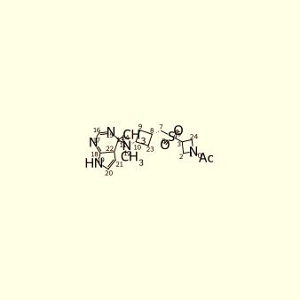 CC(=O)N1CC(S(=O)(=O)C[C@H]2C[C@@H](N(C)C3(C)N=CN=C4NC=CC43)C2)C1